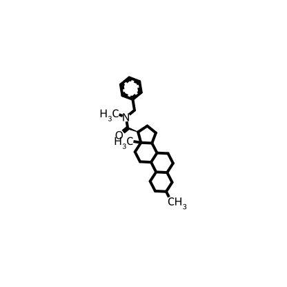 CC1CCC2C(CCC3C2CCC2(C)C3CC[C@@H]2C(=O)N(C)Cc2ccccc2)C1